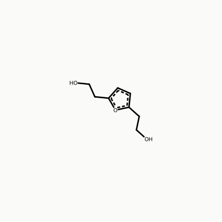 OCCc1ccc(CCO)o1